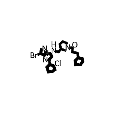 O=C(CCc1ccccc1)N1CCCC(CNc2cc(-c3ccccc3Cl)nc3c(Br)cnn23)C1